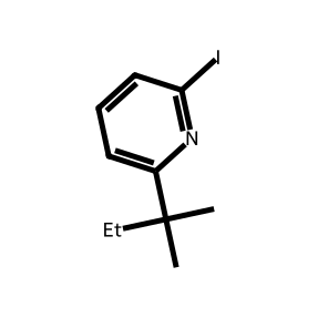 CCC(C)(C)c1cccc(I)n1